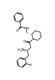 N[C@@H](CC(=O)N1CCCC[C@H]1CNC(=O)c1ccccc1)Cc1ccccc1F